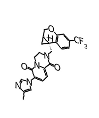 Cc1cn(-c2ccc3n(c2=O)CCN(C[C@]24C[C@H]2COc2cc(C(F)(F)F)ccc24)C3=O)cn1